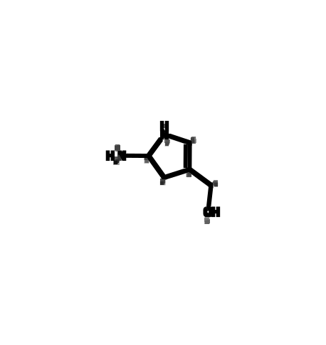 NC1CC(CO)=CN1